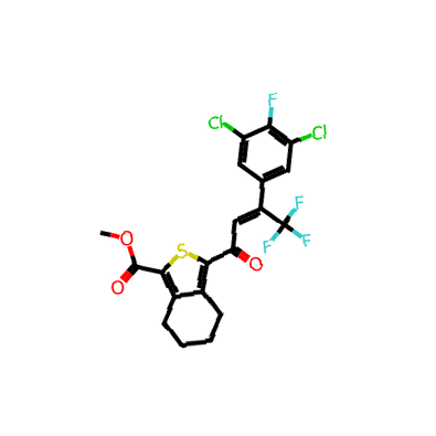 COC(=O)c1sc(C(=O)C=C(c2cc(Cl)c(F)c(Cl)c2)C(F)(F)F)c2c1CCCC2